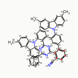 Cc1ccc2c(c1)c1cc(C)ccc1n2-c1ccc(-c2cccc(C#N)c2)cc1-c1cccc(-n2c3ccc(C)cc3c3cc(C)ccc32)c1-c1nc(-c2ccccc2)nc(-c2ccccc2)n1